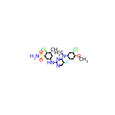 COc1ccc(N(C)c2nc(Nc3cc(C)c(Cl)c(S(N)(=O)=O)c3)ncc2F)cc1Cl